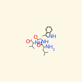 CC(C)C[C@H](N)C(=O)N[C@@H](Cc1c[nH]c2ccccc12)C(=O)N[C@H]([C]=O)C(C)C